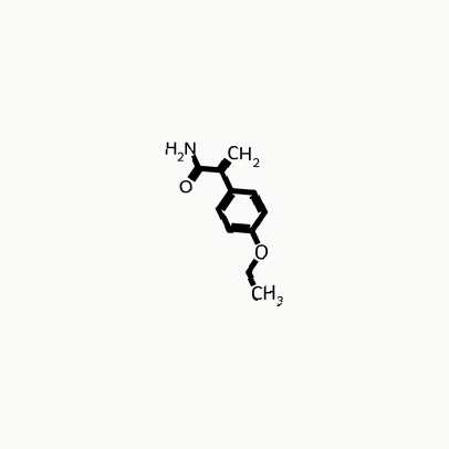 C=C(C(N)=O)c1ccc(OCC)cc1